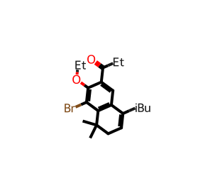 CCOc1c(C(=O)CC)cc2c(c1Br)C(C)(C)CC=C2C(C)CC